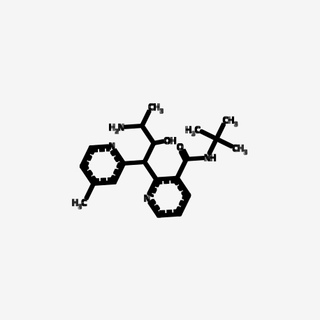 Cc1ccnc(C(c2ncccc2C(=O)NC(C)(C)C)C(O)C(C)N)c1